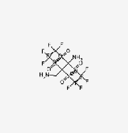 NCC(C(N)(S(=O)(=O)C(F)(F)F)S(=O)(=O)C(F)(F)F)(S(=O)(=O)C(F)(F)F)S(=O)(=O)C(F)(F)F